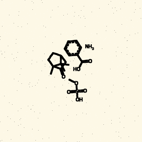 CC12CCC(CC1=O)C2(C)C.COS(=O)(=O)O.N.O=C(O)c1ccccc1